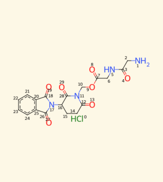 Cl.NCC(=O)NCC(=O)OCN1C(=O)CCC(N2C(=O)c3ccccc3C2=O)C1=O